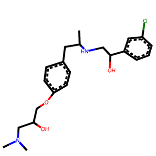 CC(Cc1ccc(OCC(O)CN(C)C)cc1)NCC(O)c1cccc(Cl)c1